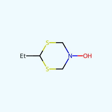 CCC1SCN(O)CS1